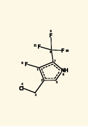 Fc1c(CCl)c[nH]c1C(F)(F)F